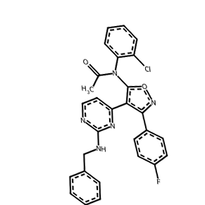 CC(=O)N(c1ccccc1Cl)c1onc(-c2ccc(F)cc2)c1-c1ccnc(NCc2ccccc2)n1